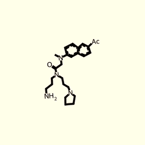 CC(=O)c1ccc2cc(N(C)CC(=O)N(CCCN)CCCN3CCCC3)ccc2c1